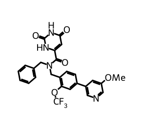 COc1cncc(-c2ccc(CN(Cc3ccccc3)C(=O)c3cc(=O)[nH]c(=O)[nH]3)c(OC(F)(F)F)c2)c1